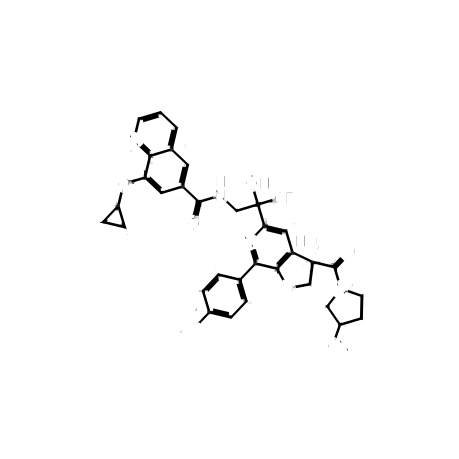 C[C@]1(C(=O)N2CCC(C#N)C2)COc2c1cc(C(O)(CNC(=O)c1cc(OC3CC3)c3ncccc3c1)C(F)(F)F)nc2-c1ccc(F)cc1